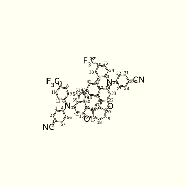 N#Cc1ccc(N(c2ccc(C(F)(F)F)cc2)c2cc3oc4ccc5oc6cc(N(c7ccc(C#N)cc7)c7ccc(C(F)(F)F)cc7)c7ccccc7c6c5c4c3c3ccccc23)cc1